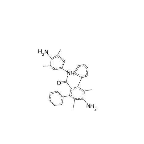 Cc1cc(NC(=O)c2c(-c3ccccc3)c(C)c(N)c(C)c2-c2ccccc2)cc(C)c1N